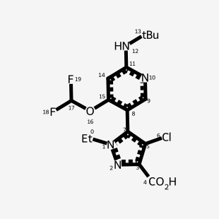 CCn1nc(C(=O)O)c(Cl)c1-c1cnc(NC(C)(C)C)cc1OC(F)F